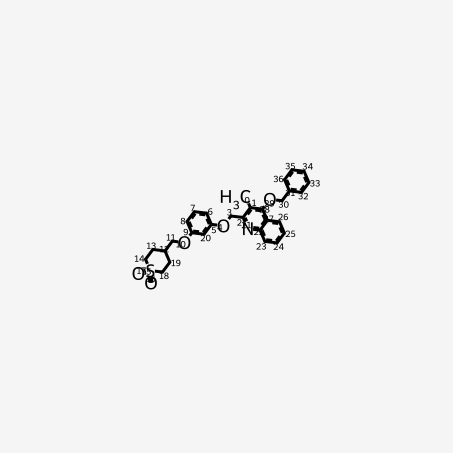 Cc1c(COc2cccc(OCC3CCS(=O)(=O)CC3)c2)nc2ccccc2c1OCc1ccccc1